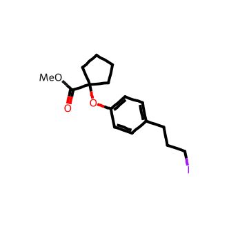 COC(=O)C1(Oc2ccc(CCCI)cc2)CCCC1